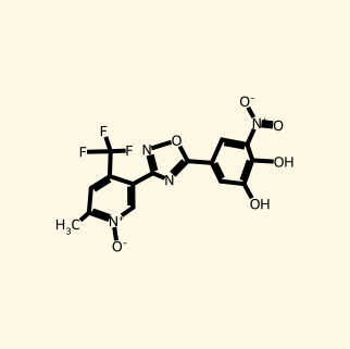 Cc1cc(C(F)(F)F)c(-c2noc(-c3cc(O)c(O)c([N+](=O)[O-])c3)n2)c[n+]1[O-]